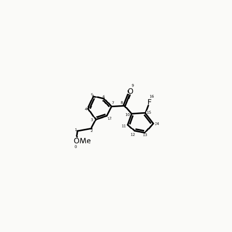 COCCc1cccc(C(=O)c2ccccc2F)c1